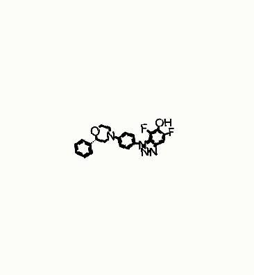 Oc1c(F)cc2nnn(-c3ccc(N4CCO[C@@H](c5ccccc5)C4)cc3)c2c1F